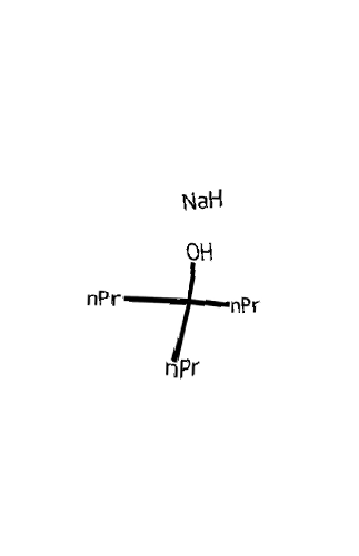 CCCC(O)(CCC)CCC.[NaH]